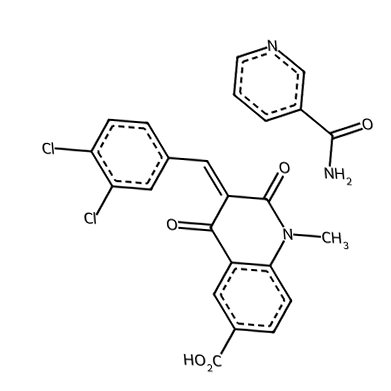 CN1C(=O)/C(=C/c2ccc(Cl)c(Cl)c2)C(=O)c2cc(C(=O)O)ccc21.NC(=O)c1cccnc1